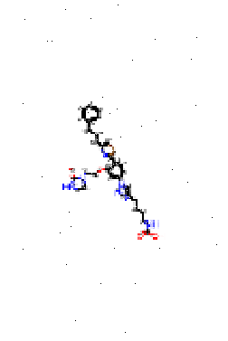 O=C(O)NCCCCc1cn(-c2ccc(-c3nc(/C=C/Cc4ccccc4)cs3)c(OCCN3CCNC3=O)c2)nn1